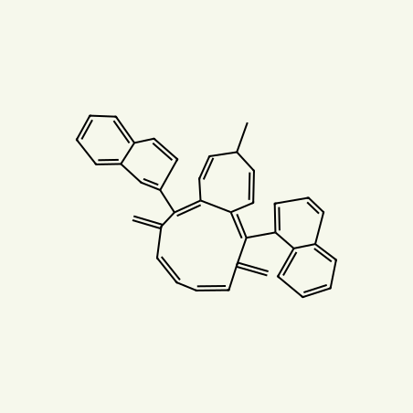 C=c1ccccc(=C)c(-c2cccc3ccccc23)c2c(c1-c1ccc3ccccc3c1)C=CC(C)C=C2